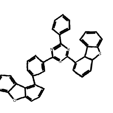 C1=CC2Sc3ccccc3C2C(c2nc(-c3ccccc3)nc(-c3cccc(-c4cccc5oc6ccccc6c45)c3)n2)=C1